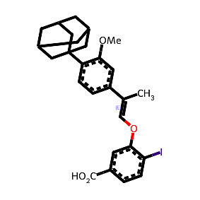 COc1cc(/C(C)=C/Oc2cc(C(=O)O)ccc2I)ccc1C12CC3CC(CC(C3)C1)C2